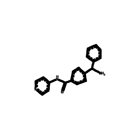 NC(c1ccccc1)c1ccc(C(=O)Nc2ccncc2)cc1